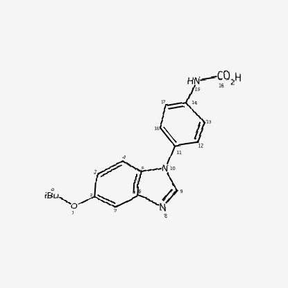 CCC(C)Oc1ccc2c(c1)ncn2-c1ccc(NC(=O)O)cc1